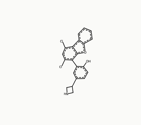 Oc1ccc(C2CNC2)cc1-c1c(Cl)cc(Cl)c2c1oc1ccccc12